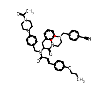 CCCOc1ccc(C=CC(=O)N(Cc2ccc(N3CCN(C(C)=O)CC3)cc2)C(Cc2ccccc2)C(=O)N2CCN(Cc3ccc(C#N)cc3)CC2)cc1